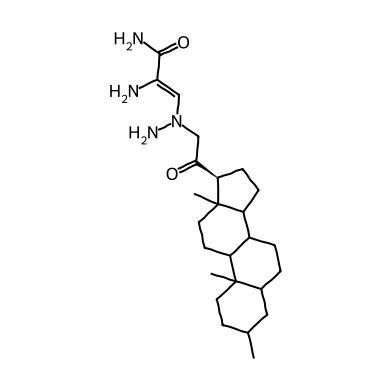 CC1CCC2(C)C(CCC3C2CCC2(C)C3CC[C@@H]2C(=O)CN(N)/C=C(\N)C(N)=O)C1